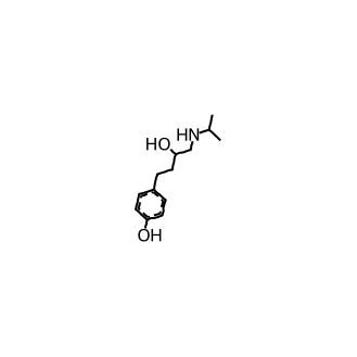 CC(C)NCC(O)CCc1ccc(O)cc1